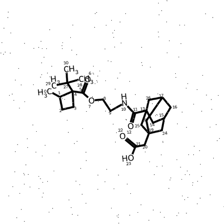 CC1CCC1(C(=O)OCCNC(=O)C12CC3CC(CC(CC(=O)O)(C3)C1)C2)C(C)(C)C